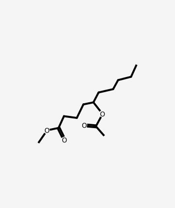 CCCCCC(CCCC(=O)OC)OC(C)=O